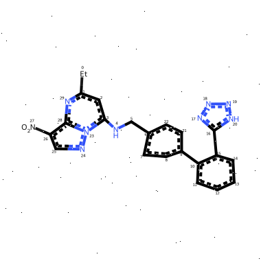 CCc1cc(NCc2ccc(-c3ccccc3-c3nnn[nH]3)cc2)n2ncc([N+](=O)[O-])c2n1